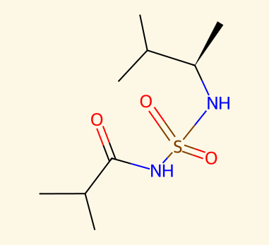 CC(C)C(=O)NS(=O)(=O)N[C@H](C)C(C)C